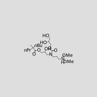 CCCCC(C)(CCC)C(=O)OCC(O)CN(CCC[SiH](OC)OC)C(=O)OCC(O)CO